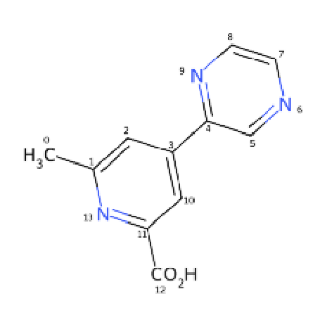 Cc1cc(-c2cnccn2)cc(C(=O)O)n1